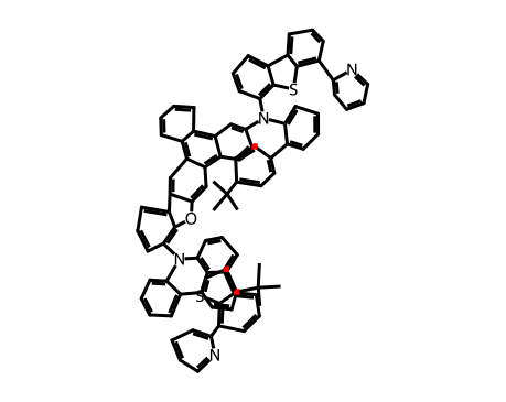 CC(C)(C)c1ccc(-c2ccccc2N(c2ccc3c(c2)c2ccccc2c2cc4c(cc32)oc2c(N(c3ccccc3-c3ccc(C(C)(C)C)cc3)c3cccc5c3sc3c(-c6ccccn6)cccc35)cccc24)c2cccc3c2sc2c(-c4ccccn4)cccc23)cc1